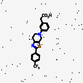 O=C(O)Cc1cccc(N2CCc3nc(-c4ccc(C(F)(F)F)cc4)sc3C2)c1